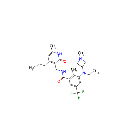 CCCc1cc(C)[nH]c(=O)c1CNC(=O)c1cc(C(F)(F)F)cc(N(CC)C2CN(C)C2)c1C